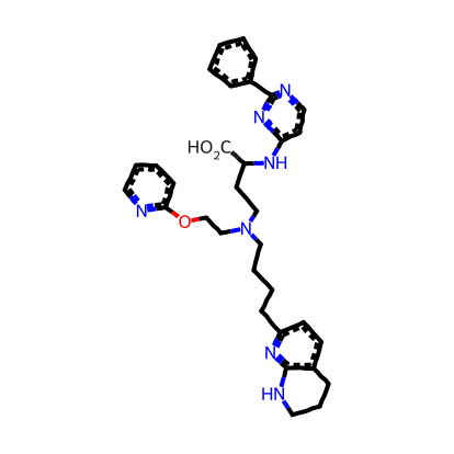 O=C(O)C(CCN(CCCCc1ccc2c(n1)NCCC2)CCOc1ccccn1)Nc1ccnc(-c2ccccc2)n1